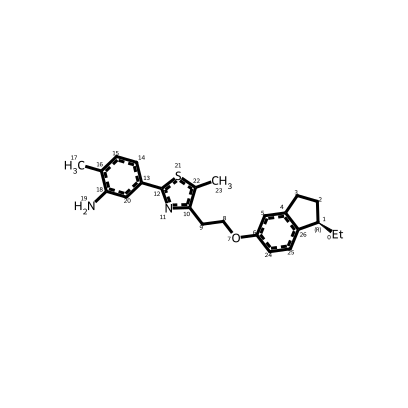 CC[C@@H]1CCc2cc(OCCc3nc(-c4ccc(C)c(N)c4)sc3C)ccc21